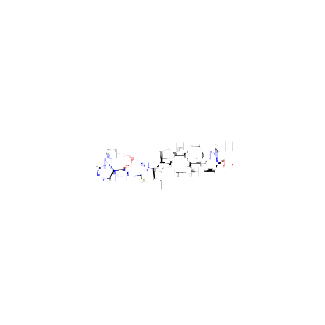 CN1C(=O)C=C[C@@]2(C)C1CC[C@@H]1[C@H]2CC[C@]2(C)C(c3csc(NC(=O)c4cncn4C)n3)CC[C@@H]12